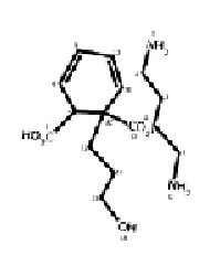 NCCCCN.O=C(O)C1C=CC=CC1(CCCO)C(=O)O